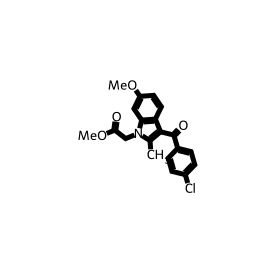 COC(=O)Cn1c(C)c(C(=O)c2ccc(Cl)cc2)c2ccc(OC)cc21